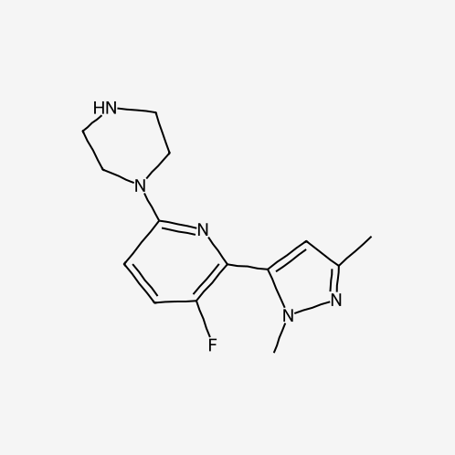 Cc1cc(-c2nc(N3CCNCC3)ccc2F)n(C)n1